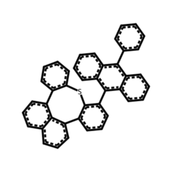 c1ccc(-c2c3ccccc3c(-c3cccc4c3Sc3ccccc3-c3cccc5cccc-4c35)c3ccccc23)cc1